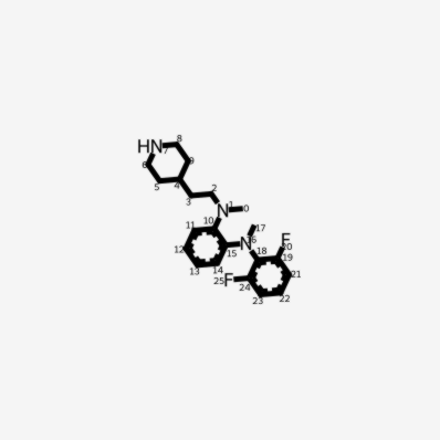 CN(CCC1CCNCC1)c1ccccc1N(C)c1c(F)cccc1F